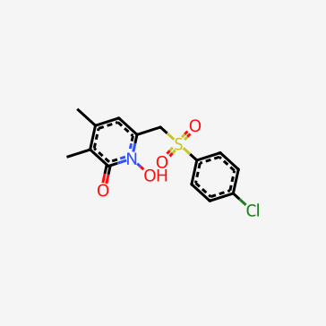 Cc1cc(CS(=O)(=O)c2ccc(Cl)cc2)n(O)c(=O)c1C